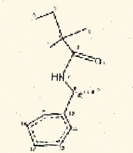 CCC(C)(C)C(=O)N[C@H](C)c1ccccc1